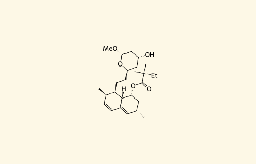 CCC(C)(C)C(=O)O[C@@H]1C[C@H](C)C=C2C=C[C@@H](C)[C@@H](CC[C@@H]3C[C@@H](O)C[C@@H](OC)O3)[C@@H]21